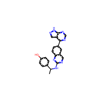 CC(Nc1ncc2cc(-c3ncnc4[nH]ncc34)ccc2n1)c1ccc(O)cc1